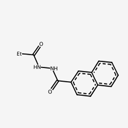 CCC(=O)NNC(=O)c1ccc2ccccc2c1